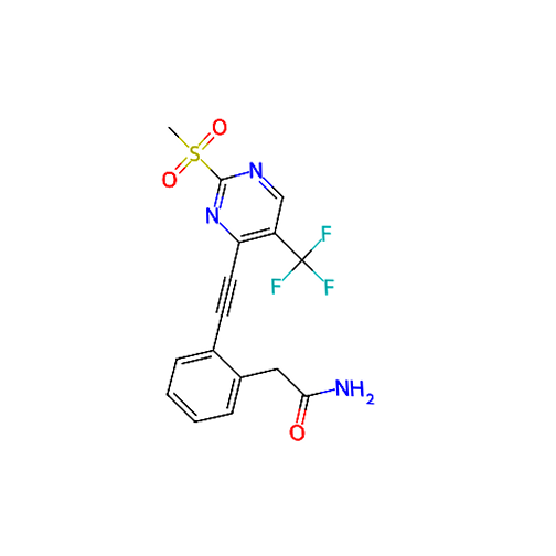 CS(=O)(=O)c1ncc(C(F)(F)F)c(C#Cc2ccccc2CC(N)=O)n1